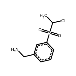 CC(Cl)S(=O)(=O)c1cccc(CN)c1